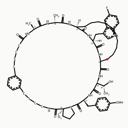 COc1ccc(C[C@@H]2NC(=O)[C@H]([C@@H](C)O)NC(=O)[C@@H]3CCCC/C=C\CCCC[C@H](NC(=O)[C@@H](C)NC(=O)[C@H](C)NC(=O)CCSCc4cccc(c4)CSCCNC(=O)[C@]4(C)CCCN4C2=O)C(=O)N[C@@H](Cc2c[nH]c4ccc(F)cc24)C(=O)N3)cc1